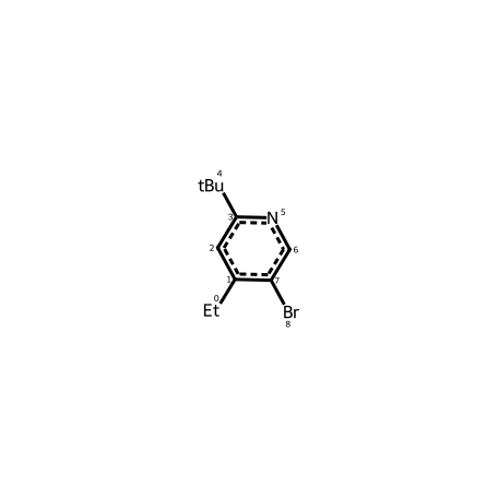 CCc1cc(C(C)(C)C)ncc1Br